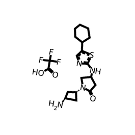 N[C@H]1C[C@H](N2CC(Nc3ncc(C4CCCCC4)s3)CC2=O)C1.O=C(O)C(F)(F)F